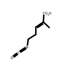 C/C(=C\CCN=C=O)C(=O)O